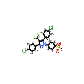 CS(=O)(=O)c1ccc(-n2nc(-c3ccc(Cl)cc3)c(C(F)F)c2-c2ccc(Cl)cc2)cc1